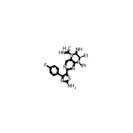 CC[C@@H]1C(=N)N(C(C)=N)c2cnc(-c3sc(N)nc3-c3ccc(F)cc3)nc2N1C(C)C